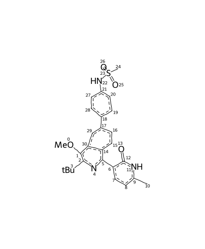 COc1c(C(C)(C)C)nc(-c2ccc(C)[nH]c2=O)c2ccc(-c3ccc(NS(C)(=O)=O)cc3)cc12